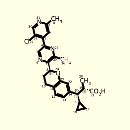 Cc1cc(-c2cnc([C@@H]3CCc4ccc([C@H](C5CC5)[C@H](C)C(=O)O)cc4O3)c(C)n2)c(Cl)cn1